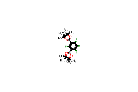 CC1(C)OB(c2c(F)c(F)c(F)c(B3OC(C)(C)C(C)(C)O3)c2F)OC1(C)C